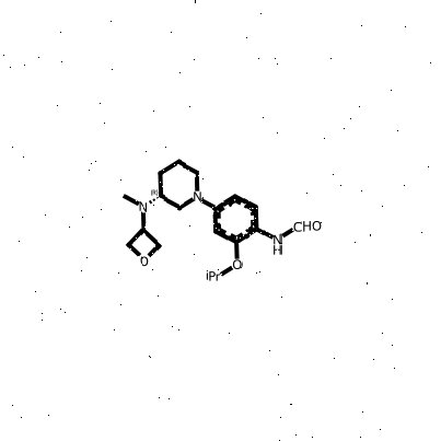 CC(C)Oc1cc(N2CCC[C@@H](N(C)C3COC3)C2)ccc1NC=O